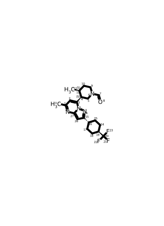 Cc1cc([C@@H]2CN(C=O)CC[C@@H]2C)n2nc([C@H]3CC[C@H](C(F)(F)F)CC3)cc2n1